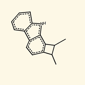 CC1c2ccc3c([nH]c4ccccc43)c2C1C